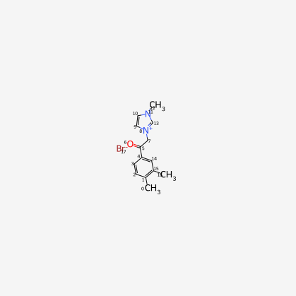 Cc1ccc(C(=O)C[n+]2ccn(C)c2)cc1C.[Br-]